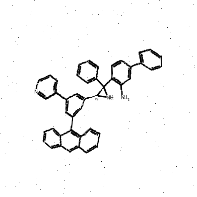 Nc1cc(-c2ccccc2)ccc1C1(c2ccccc2)N[C@H]1c1cc(-c2cccnc2)cc(-c2c3ccccc3cc3ccccc23)c1